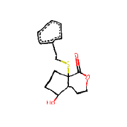 O=C1OCCC2C(O)CCC12SCc1ccccc1